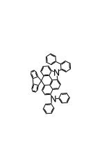 c1ccc(-c2ccccc2-n2c3cccc4c3c3c5c(ccc(N(c6ccccc6)c6ccccc6)c5ccc32)C42c3ccccc3-c3ccccc32)cc1